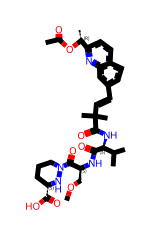 COC[C@H](NC(=O)[C@@H](NC(=O)C(C)(C)C=Cc1ccc2ccc([C@@H](C)OC(C)=O)nc2c1)C(C)C)C(=O)N1CCC[C@@H](C(=O)O)N1